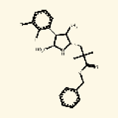 CC(C)(C[C@@H]1N[C@@H](C(=O)O)[C@H](c2cccc(Cl)c2F)C1N)C(=O)OCc1ccccc1